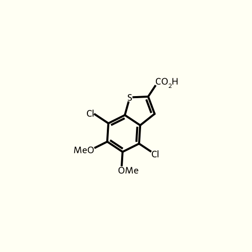 COc1c(OC)c(Cl)c2sc(C(=O)O)cc2c1Cl